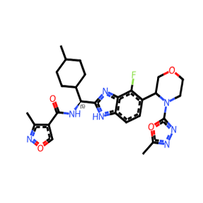 Cc1nnc(N2CCOCC2c2ccc3[nH]c([C@@H](NC(=O)c4conc4C)C4CCC(C)CC4)nc3c2F)o1